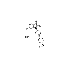 CCO[C@H]1CC[C@H](N2CCC(n3c(=O)[nH]c4ccc(F)cc43)CC2)CC1.Cl